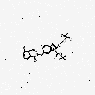 CC(C)(C)OC(=O)n1c(CCOS(C)(=O)=O)cc2ccc(Cn3ccc4c(Br)cncc4c3=O)cc21